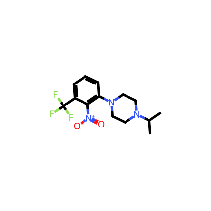 CC(C)N1CCN(c2cccc(C(F)(F)F)c2[N+](=O)[O-])CC1